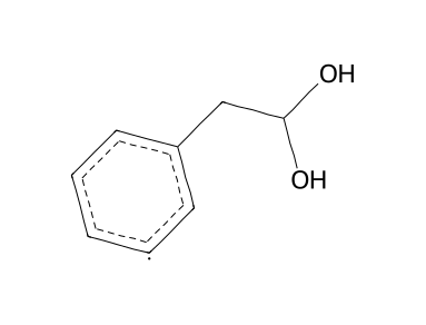 OC(O)Cc1c[c]ccc1